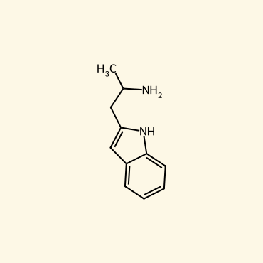 CC(N)Cc1cc2ccccc2[nH]1